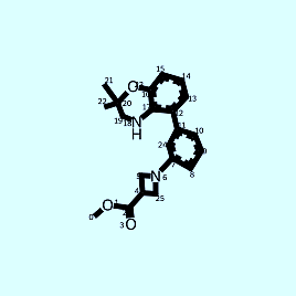 COC(=O)C1CN(c2cccc(-c3cccc4c3NCC(C)(C)O4)c2)C1